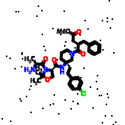 COC(=O)C[C@@H](Cc1ccccc1)C(=O)N1CCC[C@](CCc2ccc(Cl)cc2)(NC(=O)[C@@H]2COC(C)(C)N2C(=O)[C@H](C)N)C1